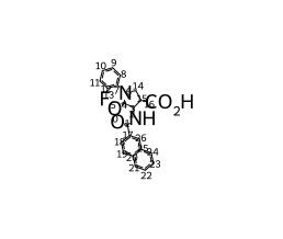 O=C(N[C@H]1C(=O)N(c2ccccc2F)C[C@H]1C(=O)O)c1ccc2ccccc2c1